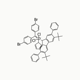 CC(C)(C)c1cc2c(cc1-c1ccccc1)[CH]([Zr]([Cl])([Cl])(=[C](c1ccc(Br)cc1)c1ccc(Br)cc1)[CH]1C=CC=C1)c1cc(-c3ccccc3)c(C(C)(C)C)cc1-2